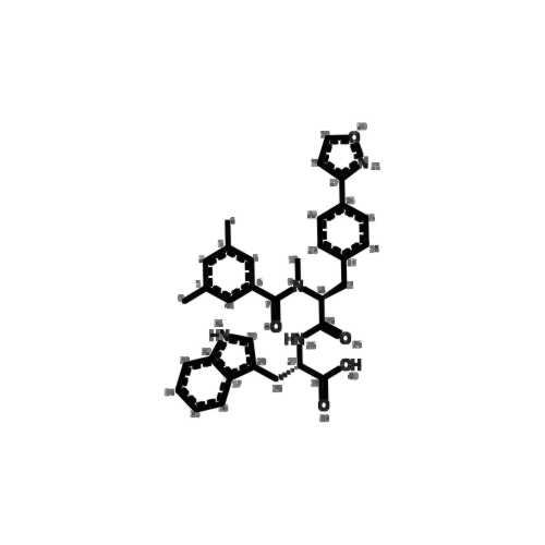 Cc1cc(C)cc(C(=O)N(C)[C@@H](Cc2ccc(-c3ccon3)cc2)C(=O)N[C@@H](Cc2c[nH]c3ccccc23)C(=O)O)c1